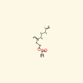 C=CCCCC(=C)CCOC(=O)CC